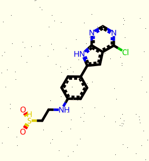 O=[SH](=O)CCNc1ccc(-c2cc3c(Cl)ncnc3[nH]2)cc1